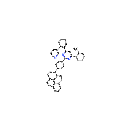 Cc1ccccc1-c1cc(-c2ccccc2-c2cccnc2)nc(-c2ccc(-c3ccc4ccc5cccc6ccc3c4c56)cc2)n1